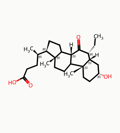 CC[C@H]1C(=O)[C@H]2C3CC[C@H]([C@H](C)CCC(=O)O)[C@@]3(C)CCC2[C@@]2(C)CC[C@@H](O)C[C@@H]12